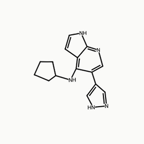 c1cc2c(NC3CCCC3)c(-c3cn[nH]c3)cnc2[nH]1